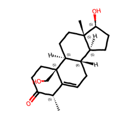 C[C@@H]1C(=O)CC[C@@]2(CO)C1=CC[C@@H]1[C@@H]2CC[C@]2(C)[C@@H](O)CC[C@@H]12